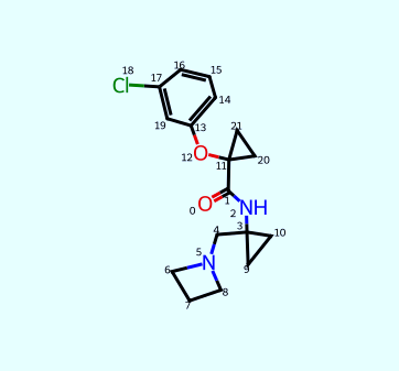 O=C(NC1(CN2CCC2)CC1)C1(Oc2cccc(Cl)c2)CC1